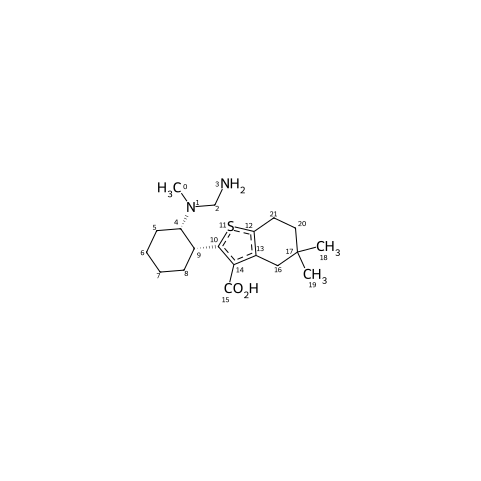 CN(CN)[C@H]1CCCC[C@H]1c1sc2c(c1C(=O)O)CC(C)(C)CC2